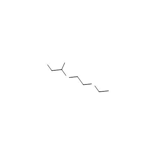 CCSCCSC(O)CO